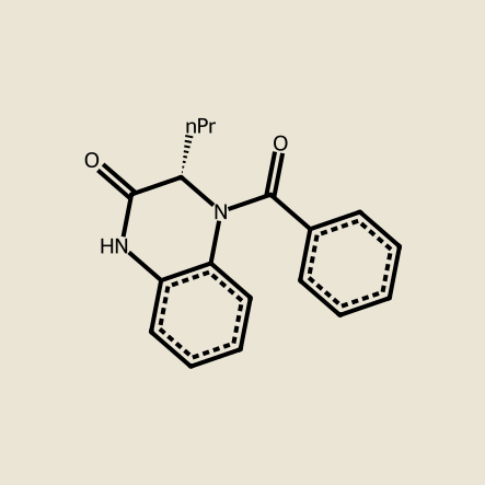 CCC[C@H]1C(=O)Nc2ccccc2N1C(=O)c1ccccc1